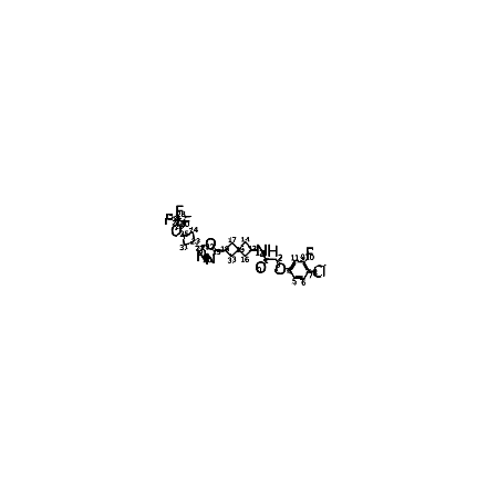 O=C(COc1ccc(Cl)c(F)c1)NC1CC2(C1)CC(c1nnc([C@H]3C[C@H](OC(F)(F)F)C3)o1)C2